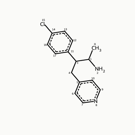 CC(N)C(Cc1ccncc1)c1ccc(Cl)cc1